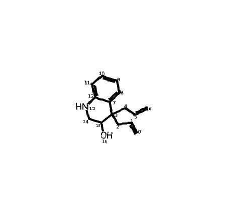 C=CCC1(CC=C)c2ccccc2NCC1O